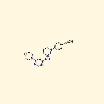 C#Cc1ccc(N2CCC[C@@H](Nc3cc(N4CCOCC4)ncn3)C2)cc1